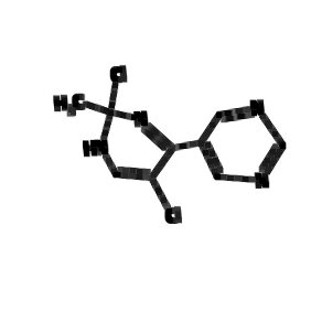 CC1(Cl)N=C(c2cncnc2)C(Cl)=CN1